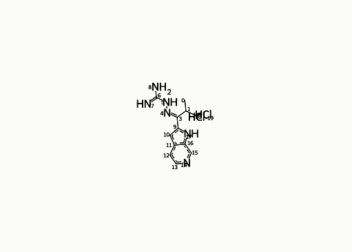 CC(C)C(=NNC(=N)N)c1cc2ccncc2[nH]1.Cl.Cl